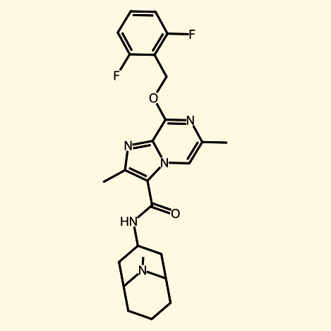 Cc1cn2c(C(=O)NC3CC4CCCC(C3)N4C)c(C)nc2c(OCc2c(F)cccc2F)n1